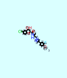 C=C(CCn1cc(-c2ccc(OC(F)(F)F)c(F)c2)cn1)NC(=O)[C@@H]1C[C@@H](O)c2cc(Cl)ccc2O1